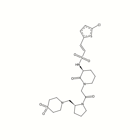 O=C1[C@@H](NS(=O)(=O)/C=C/c2ccc(Cl)s2)CCCN1CC(=O)N1CCC[C@H]1CN1CCS(=O)(=O)CC1